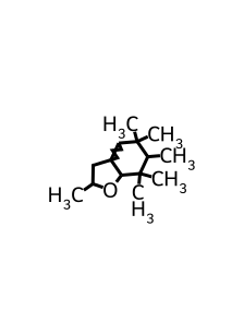 CC1CC23CCCC2C(C)(C)C(C)C(C)(C)C3O1